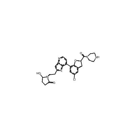 O=C(C1Cc2cc(Cl)cc(-c3ccnc4cc(CCN5C(=O)CCC5O)sc34)c2O1)N1CCNCC1